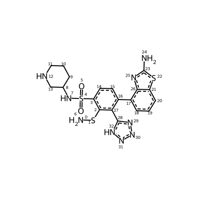 NSc1c(S(=O)(=O)NC2CCCNC2)ccc(-c2cccc3sc(N)nc23)c1-c1nnn[nH]1